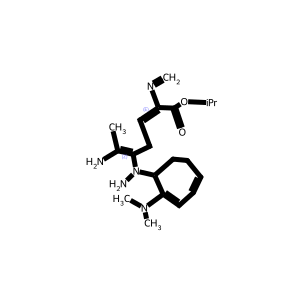 C=N/C(=C/C/C(=C(\C)N)N(N)C1CCC=CC=C1N(C)C)C(=O)OC(C)C